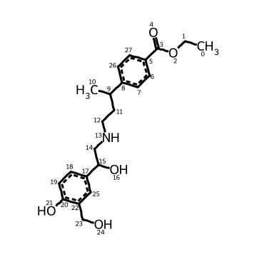 CCOC(=O)c1ccc(C(C)CCNCC(O)c2ccc(O)c(CO)c2)cc1